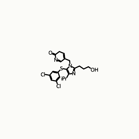 CC(C)c1nc(CCCO)n(CC2=CCC(=O)N=C2)c1Sc1cc(Cl)cc(Cl)c1